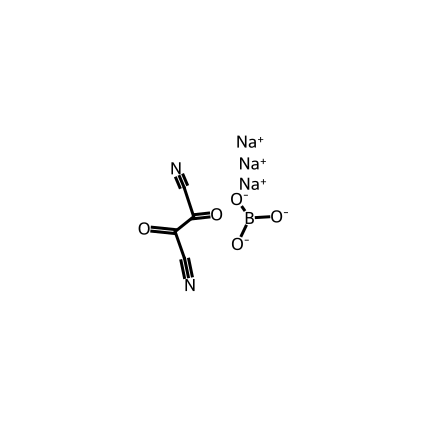 N#CC(=O)C(=O)C#N.[Na+].[Na+].[Na+].[O-]B([O-])[O-]